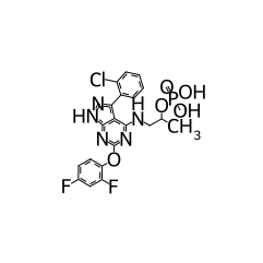 CC(CNc1nc(Oc2ccc(F)cc2F)nc2[nH]nc(-c3ccccc3Cl)c12)OP(=O)(O)O